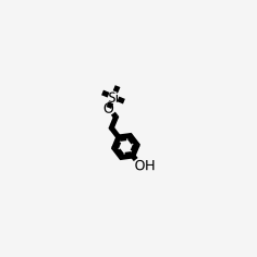 C[Si](C)(C)OCCc1ccc(O)cc1